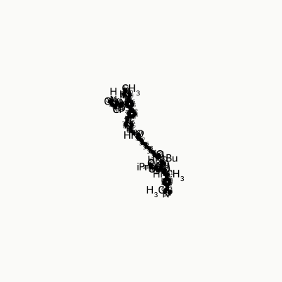 Cc1ncsc1-c1ccc(C(C)NC(=O)[C@@H]2C[C@@H](OC(=O)C(C)C)CN2C(=O)C(NC(=O)CCCCCCCCCC(=O)NCCN2CCN(Cc3cccc(-c4ccc(N5CCN(C)CC5)c(NC(=O)c5c[nH]c(=O)cc5C(F)(F)F)c4)c3)CC2)C(C)(C)C)cc1